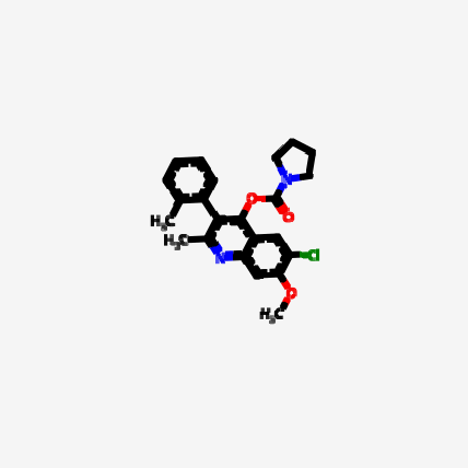 COc1cc2nc(C)c(-c3ccccc3C)c(OC(=O)N3CCCC3)c2cc1Cl